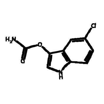 NC(=O)Oc1c[nH]c2ccc(Cl)cc12